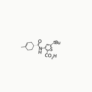 CC1=CC[C@H](C(=O)Nc2cc(C(C)(C)C)sc2C(=O)O)CC1